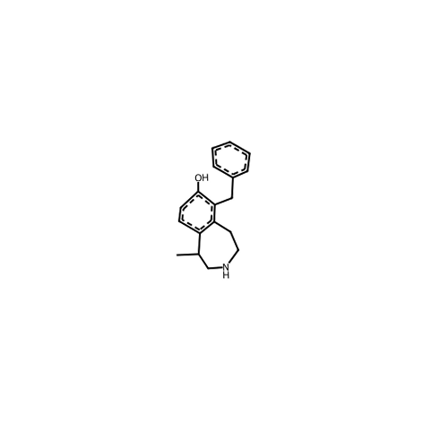 CC1CNCCc2c1ccc(O)c2Cc1ccccc1